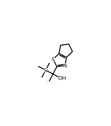 [CH2]C(O)(c1nc2c(s1)CCC2)[Si](C)(C)C